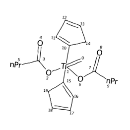 [CH2]=[Ti]([O]C(=O)CCC)([O]C(=O)CCC)([C]1=CC=CC1)[C]1=CC=CC1